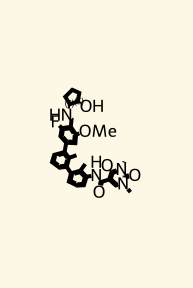 COc1cc(-c2cccc(-c3cccc(NC(=O)c4cn(C)c(=O)n(C)c4=O)c3C)c2C)cc(F)c1CN[C@H]1CCC[C@@H]1O